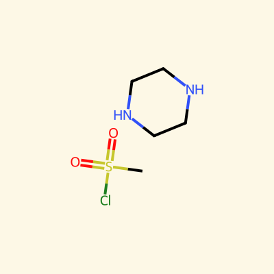 C1CNCCN1.CS(=O)(=O)Cl